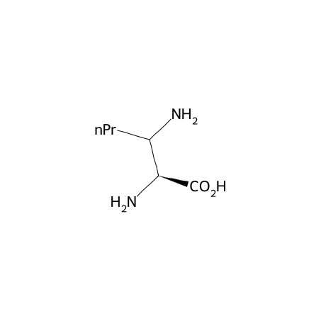 CCCC(N)[C@H](N)C(=O)O